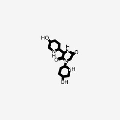 O=C1CN(C2CCC(O)CN2)C(=O)C(C2CCC(O)CN2)N1